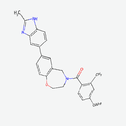 COc1ccc(C(=O)N2CCOc3ccc(-c4ccc5[nH]c(C)nc5c4)cc3C2)c(C)c1